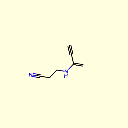 C#CC(=C)NCCC#N